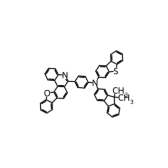 CC1(C)c2ccccc2-c2ccc(N(c3ccc(-c4nc5ccccc5c5c4ccc4c6ccccc6oc45)cc3)c3ccc4c(c3)sc3ccccc34)cc21